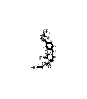 C#CCOC(=O)NC(C(=O)N(CC#C)Cc1ccc(-c2noc(C(F)(F)F)n2)cc1)C(C)C